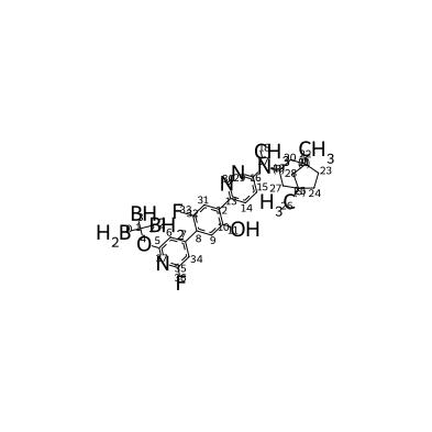 BC(B)(B)Oc1cc(-c2cc(O)c(-c3ccc(N(C)[C@H]4C[C@]5(C)CC[C@](C)(C4)C5)nn3)cc2F)cc(F)n1